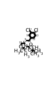 CC(C)(C)OC(=O)N1[C@@H](CCc2ccc(Cl)c(Cl)c2)COC1(C)C